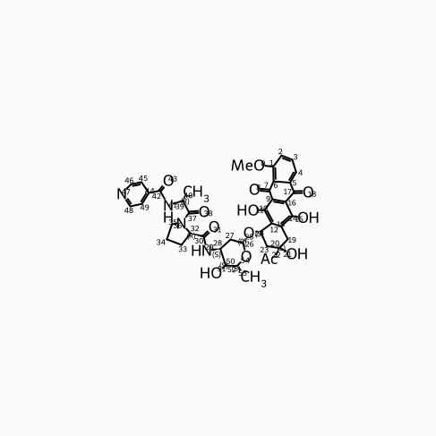 COc1cccc2c1C(=O)c1c(O)c3c(c(O)c1C2=O)C[C@@](O)(C(C)=O)C[C@@H]3O[C@H]1C[C@H](NC(=O)[C@H]2CCCN2C(=O)[C@@H](C)NC(=O)c2ccncc2)[C@H](O)[C@H](C)O1